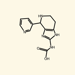 O=C(O)Nc1nc2c([nH]1)CCNC2c1cccnc1